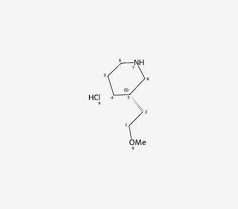 COCC[C@@H]1CCCNC1.Cl